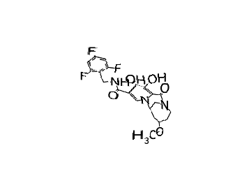 COC1CCN2CC(C1)N1C=C(C(=O)NCc3c(F)cc(F)cc3F)C(O)C(O)=C1C2=O